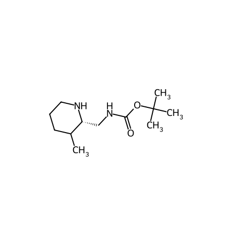 CC1CCCN[C@@H]1CNC(=O)OC(C)(C)C